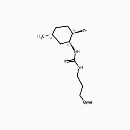 COCCCNC(=S)N[C@H]1C[C@H](C)CC[C@H]1C(C)C